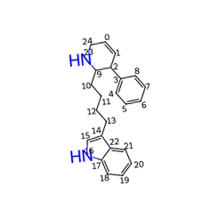 C1=CC(c2ccccc2)C(CCCCc2c[nH]c3ccccc23)NC1